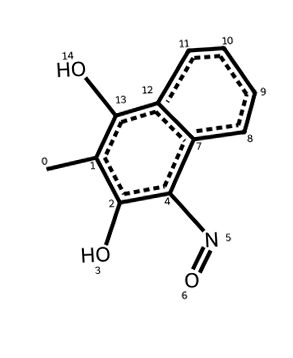 Cc1c(O)c(N=O)c2ccccc2c1O